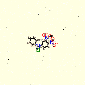 O=[N+]([O-])c1ccc(N(Cl)c2ccccc2)cc1[N+](=O)[O-]